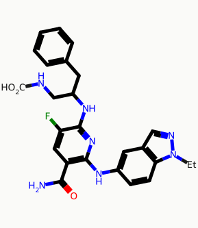 CCn1ncc2cc(Nc3nc(NC(CNC(=O)O)Cc4ccccc4)c(F)cc3C(N)=O)ccc21